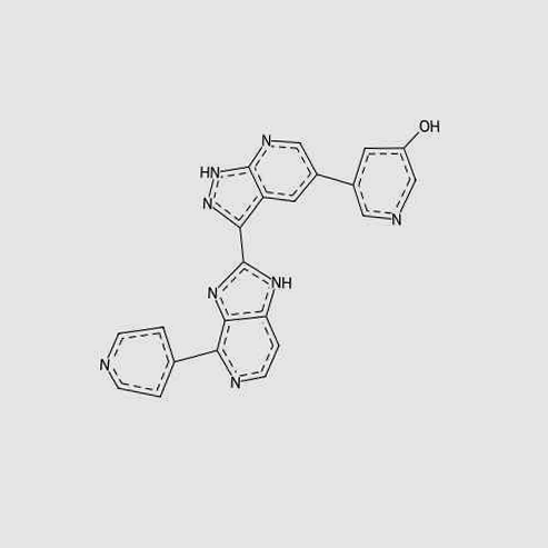 Oc1cncc(-c2cnc3[nH]nc(-c4nc5c(-c6ccncc6)nccc5[nH]4)c3c2)c1